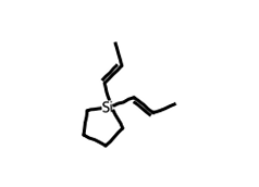 CC=C[Si]1(C=CC)CCCC1